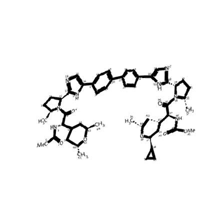 COC(=O)N[C@H](C(=O)N1[C@@H](C)CC[C@H]1c1ncc(-c2ccc(-c3ccc(-c4cnc([C@@H]5CC[C@H](C)N5C(=O)[C@@H](NC(=O)OC)[C@H]5C[C@@H](C)O[C@H](C6CC6)C5)[nH]4)cc3)cc2)[nH]1)C1C[C@@H](C)O[C@H](C)C1